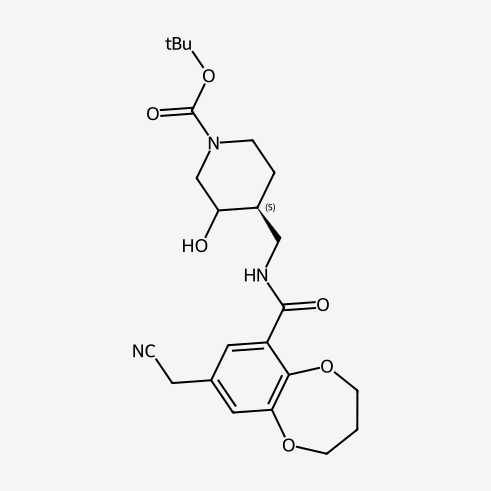 CC(C)(C)OC(=O)N1CC[C@@H](CNC(=O)c2cc(CC#N)cc3c2OCCCO3)C(O)C1